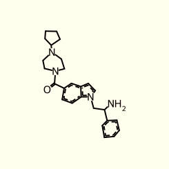 NC(Cn1ccc2cc(C(=O)N3CCN(C4CCCC4)CC3)ccc21)c1ccccc1